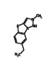 CCc1ccc2c(c1)N1NN(C)C=C1S2